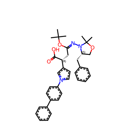 CC(C)(C)OC(C[C@@H](C(=O)O)c1ccn(-c2ccc(-c3ccccc3)cc2)c1)=NN1[C@@H](Cc2ccccc2)COC1(C)C